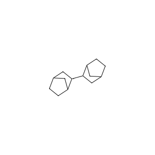 C1CC2CC1C[C]2C1CC2CCC1C2